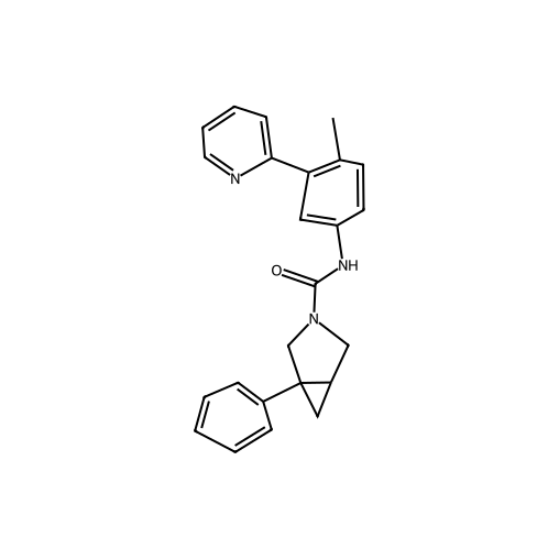 Cc1ccc(NC(=O)N2CC3CC3(c3ccccc3)C2)cc1-c1ccccn1